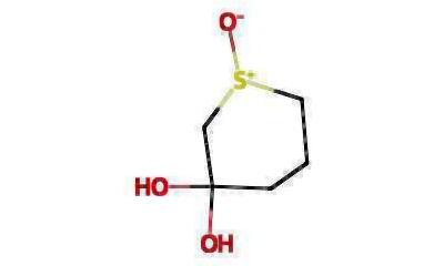 [O-][S+]1CCCC(O)(O)C1